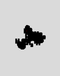 COc1cc2c(cc1OCc1cc(COc3cc4c(cc3OC)C(=O)N3c5ccccc5C[C@H]3CN4)cc(SCCCC(C)(C)SCC(=O)ON3C(=O)CCC3=O)c1)N=C[C@@H]1Cc3ccccc3N1C2=O